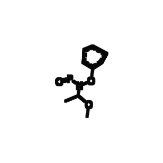 COC(C)N(Oc1ccccc1)P=O